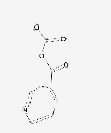 COC(=O)OC(=O)c1cccnc1